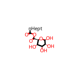 CCCCCCCC(=O)OC(=O)[C@H]1O[C@@H](O)[C@H](O)[C@@H](O)[C@@H]1O